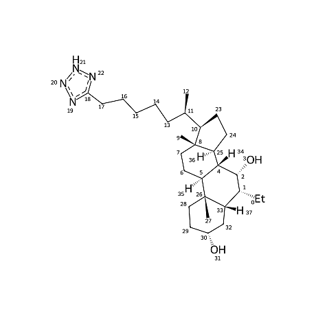 CC[C@H]1[C@@H](O)[C@@H]2[C@H](CC[C@]3(C)[C@@H]([C@H](C)CCCCCc4nn[nH]n4)CC[C@@H]23)[C@@]2(C)CC[C@@H](O)C[C@@H]12